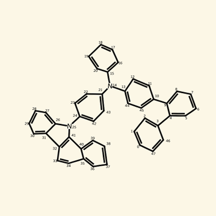 c1ccc(-c2ccccc2-c2ccc(N(c3ccccc3)c3ccc(-n4c5ccccc5c5ccc6ccccc6c54)cc3)cc2)cc1